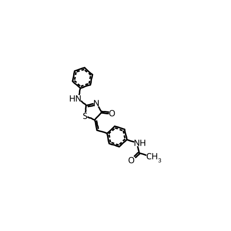 CC(=O)Nc1ccc(/C=C2/SC(Nc3ccccc3)=NC2=O)cc1